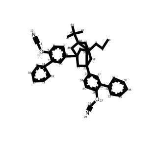 CCCC12CC3(c4ccc(OC#N)c(-c5ccccc5)c4)CC(c4ccc(OC#N)c(-c5ccccc5)c4)(C1)CC(C(C)(C)C)(C2)C3